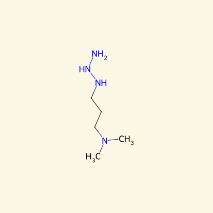 CN(C)CCCNNN